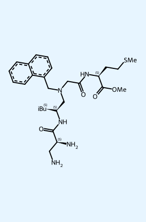 CC[C@H](C)[C@@H](CN(CC(=O)N[C@@H](CCSC)C(=O)OC)Cc1cccc2ccccc12)NC(=O)[C@@H](N)CN